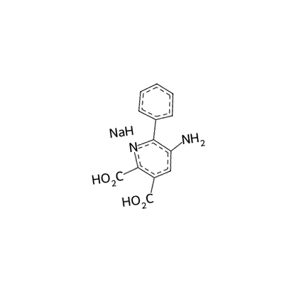 Nc1cc(C(=O)O)c(C(=O)O)nc1-c1ccccc1.[NaH]